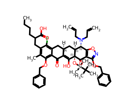 C=CCN(CC=C)[C@@H]1c2onc(OCc3ccccc3)c2C(=O)[C@@]2(O[Si](C)(C)C(C)(C)C)C(O)=C3C(=O)c4c(c(F)c(CC(CCCC)C(=O)O)c(C)c4OCc4ccccc4)C[C@H]3C[C@@H]12